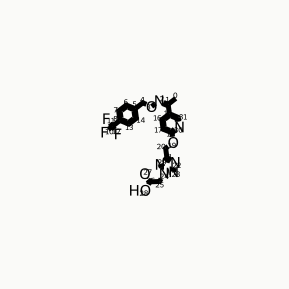 CC(=NOCc1ccc(C(F)(F)F)cc1)c1ccc(OCc2nnn(CC(=O)O)n2)nc1